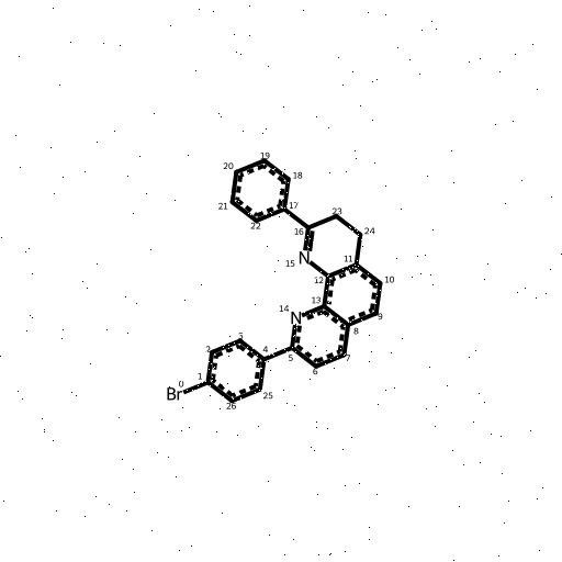 Brc1ccc(-c2ccc3ccc4c(c3n2)N=C(c2ccccc2)CC4)cc1